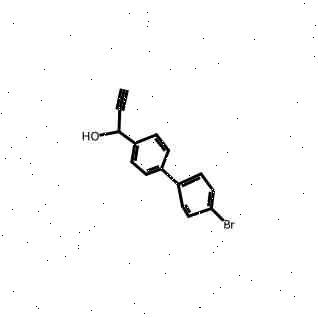 C#CC(O)c1ccc(-c2ccc(Br)cc2)cc1